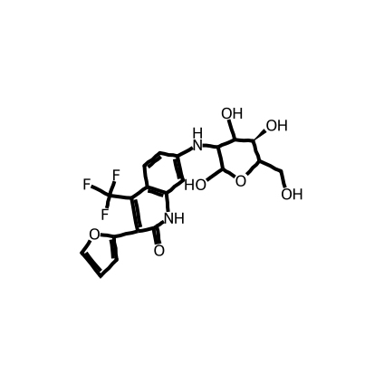 O=c1[nH]c2cc(NC3C(O)OC(CO)[C@H](O)C3O)ccc2c(C(F)(F)F)c1-c1ccco1